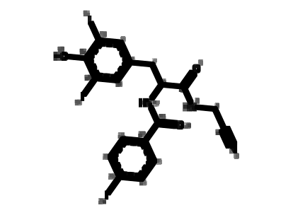 N#CCNC(=O)C(Cc1cc(I)c(O)c(I)c1)NC(=O)c1ccc(I)cc1